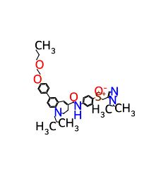 CCCCOCCOc1ccc(-c2ccc3c(c2)C=C(C(=O)Nc2ccc([S+]([O-])Cc4cncn4C(C)C)cc2)CCN3CC(C)C)cc1